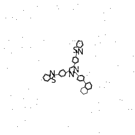 c1cc2c(c(-c3ccc(-c4nc(-c5ccc(-c6nc7ccccc7s6)cc5)cc(-c5ccc(-c6nc7ccccc7s6)cc5)n4)cc3)c1)CCCC2